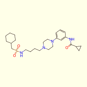 O=C(Nc1cccc(N2CCN(CCCCNS(=O)(=O)CC3CCCCC3)CC2)c1)C1CC1